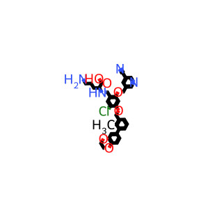 Cc1c(COc2cc(OCc3cncc(C#N)c3)c(CNC(CCCN)C(=O)O)cc2Cl)cccc1-c1ccc2c(c1)OCCO2